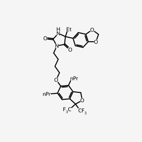 CCCc1cc2c(c(CCC)c1OCCCCN1C(=O)NC(CC)(c3ccc4c(c3)OCO4)C1=O)COC2(C(F)(F)F)C(F)(F)F